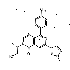 CC(CO)n1cnc2c(-c3ccc(C(F)(F)F)cc3)nc(-c3cnn(C)c3)cc2c1=O